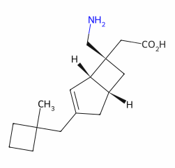 CC1(CC2=C[C@H]3[C@@H](C2)C[C@@]3(CN)CC(=O)O)CCC1